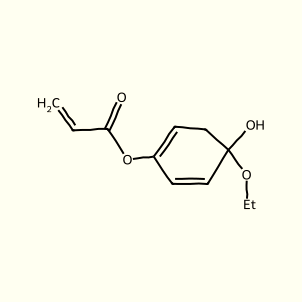 C=CC(=O)OC1=CCC(O)(OCC)C=C1